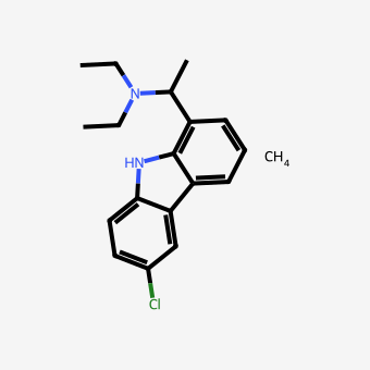 C.CCN(CC)C(C)c1cccc2c1[nH]c1ccc(Cl)cc12